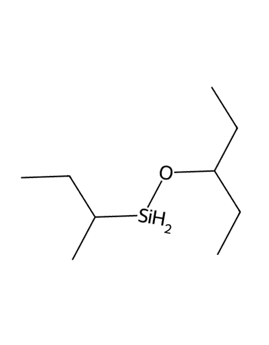 CCC(CC)O[SiH2]C(C)CC